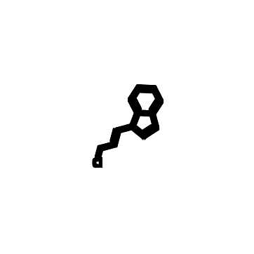 ClCC=CC1[C]=Cc2ccccc21